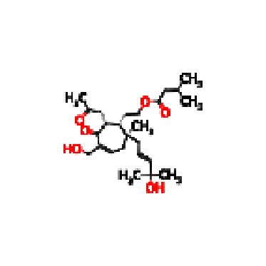 CC(=O)C[C@H]1C(=O)C(CO)=CC[C@](C)(C/C=C/C(C)(C)O)[C@H]1/C=C/OC(=O)C=C(C)C